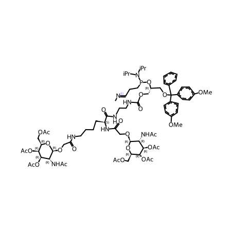 C/N=C/CCP(O[C@@H](COC(=O)NCCNC(=O)[C@H](CCCCNC(=O)CO[C@@H]1O[C@H](COC(C)=O)[C@H](OC(C)=O)[C@H](OC(C)=O)[C@H]1NC(C)=O)NC(=O)CO[C@@H]1O[C@H](COC(C)=O)[C@H](OC(C)=O)[C@H](OC(C)=O)[C@H]1NC(C)=O)COC(c1ccccc1)(c1ccc(OC)cc1)c1ccc(OC)cc1)N(C(C)C)C(C)C